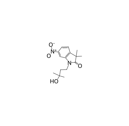 CC(C)(O)CCN1C(=O)C(C)(C)c2ccc([N+](=O)[O-])cc21